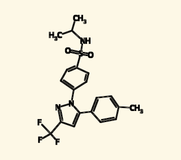 Cc1ccc(-c2cc(C(F)(F)F)nn2-c2ccc(S(=O)(=O)NC(C)C)cc2)cc1